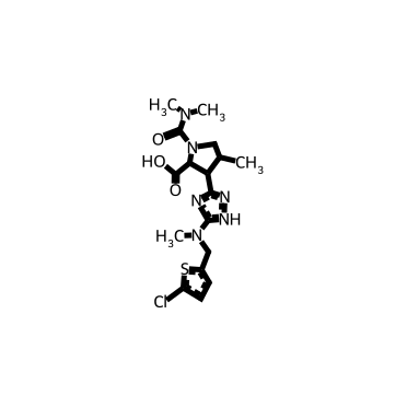 CC1CN(C(=O)N(C)C)C(C(=O)O)C1c1n[nH]c(N(C)Cc2ccc(Cl)s2)n1